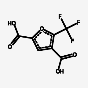 O=C(O)c1cc(C(=O)O)c(C(F)(F)F)o1